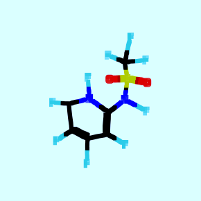 O=S(=O)(N(F)C1=C(F)C(F)=C(F)C(F)N1F)C(F)(F)F